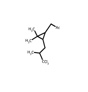 C[C](CC1C(CC(C)=O)C1(C)C)C(Cl)(Cl)Cl